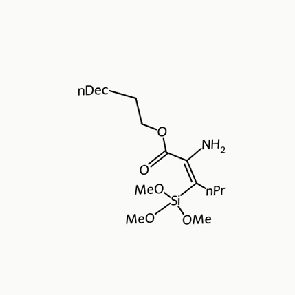 CCCCCCCCCCCCOC(=O)C(N)=C(CCC)[Si](OC)(OC)OC